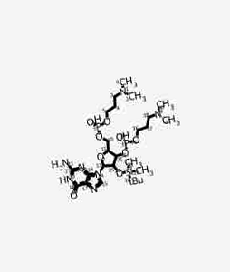 CN(C)CCCO[PH](=O)OCC1OC(n2cnc3c(=O)[nH]c(N)nc32)C(O[Si](C)(C)C(C)(C)C)C1O[PH](=O)OCCCN(C)C